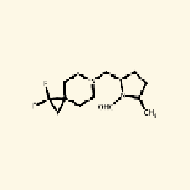 CC1CCC(CN2CCC3(CC2)CC3(F)F)N1C=O